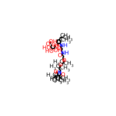 CCC(C)(C)C1=C(C(C)(C)C)C(=O)N(CCC(C)(C)OCC(C)(C)OCCC(=O)NCCC(=O)Nc2cc(CC(C)(C)C)ccc2O[C@@H]2O[C@H](C(=O)O)[C@@H](O)[C@H](O)[C@H]2O)C1=O